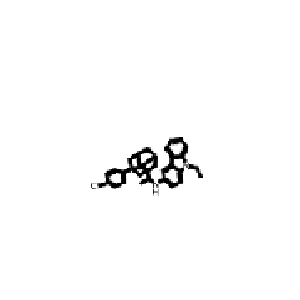 CCn1c2ccccc2c2cc(NC(C)C34CC5CC(CC(c6ccc(Cl)cc6)(C5)C3)C4)ccc21